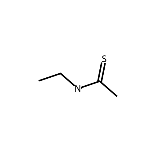 CC[N]C(C)=S